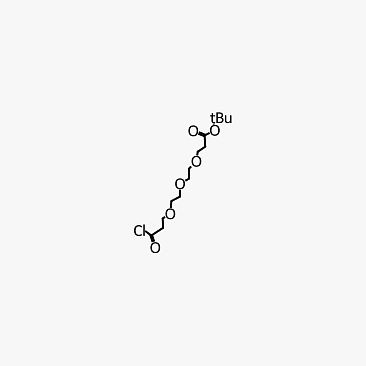 CC(C)(C)OC(=O)CCOCCOCCOCCC(=O)Cl